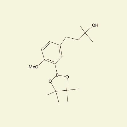 COc1ccc(CCC(C)(C)O)cc1B1OC(C)(C)C(C)(C)O1